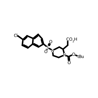 CC(C)(C)OC(=O)N1CCN(S(=O)(=O)c2ccc3cc(Cl)ccc3c2)CC1CC(=O)O